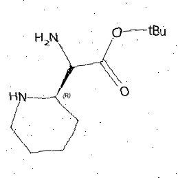 CC(C)(C)OC(=O)C(N)[C@H]1CCCCN1